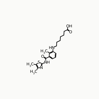 Cc1nc(NC(=O)c2cccc(NCCCCCCC(=O)O)c2C)sc1C